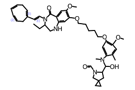 CCC1CNc2cc(OCCCCCOc3cc(N(C)C(O)C4CC5(CC5)CN4C=O)c(C)cc3OC)c(OC)cc2C(=O)N1/C=C/C1=C/CC=C/C=C\C1